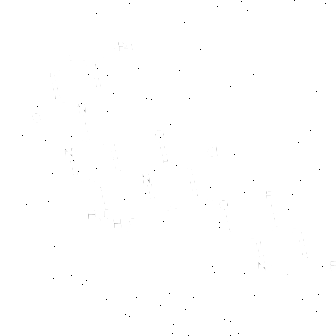 Cc1cnc(-n2cc(C(C)(C)C)ccc2=O)cc1-n1c(C)cc(OCc2ncc(F)cc2F)c(Cl)c1=O